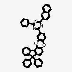 c1ccc(-c2nc(-c3ccc4c(c3)Oc3c(ccc5c3-c3ccccc3C5(c3ccccc3)c3ccccc3)O4)nc(-c3ccc4ccccc4c3)n2)cc1